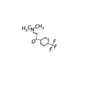 CN(C)/C=C/C(=O)c1ccc(C(F)(F)F)cc1